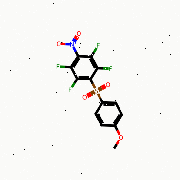 COc1ccc(S(=O)(=O)c2c(F)c(F)c([N+](=O)[O-])c(F)c2F)cc1